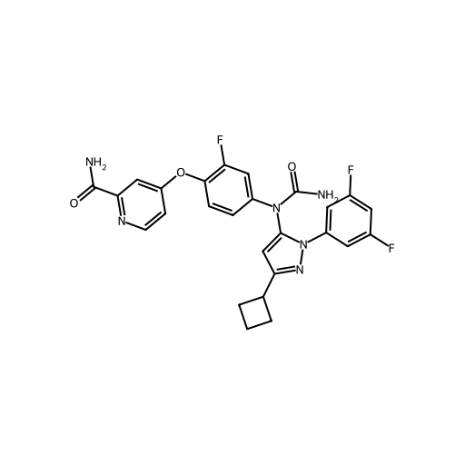 NC(=O)c1cc(Oc2ccc(N(C(N)=O)c3cc(C4CCC4)nn3-c3cc(F)cc(F)c3)cc2F)ccn1